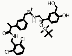 CC(C(=O)NCc1c(Cl)cccc1Cl)c1cccc(C[C@@H](C)NC[C@H](O[Si](C)(C)C(C)(C)C)c2ccc(O)c(CO)c2)c1